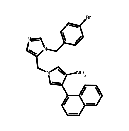 O=[N+]([O-])c1cn(Cc2cncn2Cc2ccc(Br)cc2)cc1-c1cccc2ccccc12